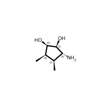 C[C@@H]1[C@H](C)[C@@H](N)[C@H](O)[C@@H]1O